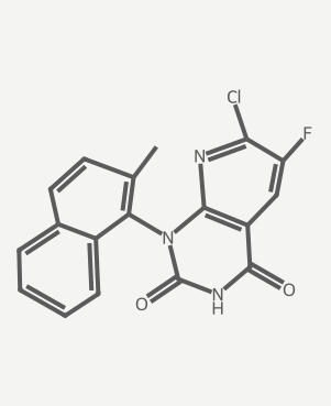 Cc1ccc2ccccc2c1-n1c(=O)[nH]c(=O)c2cc(F)c(Cl)nc21